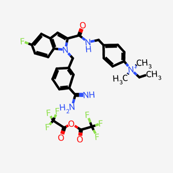 CC[N+](C)(C)c1ccc(CNC(=O)c2cc3cc(F)ccc3n2Cc2cccc(C(=N)N)c2)cc1.O=C(OC(=O)C(F)(F)F)C(F)(F)F